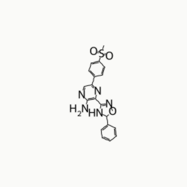 CS(=O)(=O)c1ccc(-c2cnc(N)c(C3=NOC(c4ccccc4)N3)n2)cc1